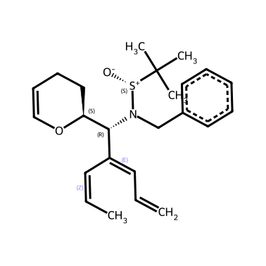 C=C/C=C(\C=C/C)[C@H]([C@@H]1CCC=CO1)N(Cc1ccccc1)[S@+]([O-])C(C)(C)C